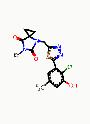 CCN1C(=O)N(Cc2nnc(-c3cc(C(F)(F)F)cc(O)c3Cl)s2)C2(CC2)C1=O